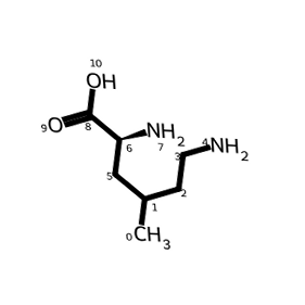 CC(CCN)C[C@H](N)C(=O)O